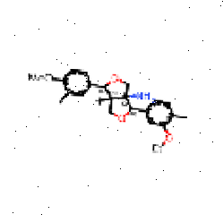 CCOc1cc([C@H]2OC[C@@H]3[C@@H](c4ccc(OC)c(C)c4)OC[C@]23N)ccc1C